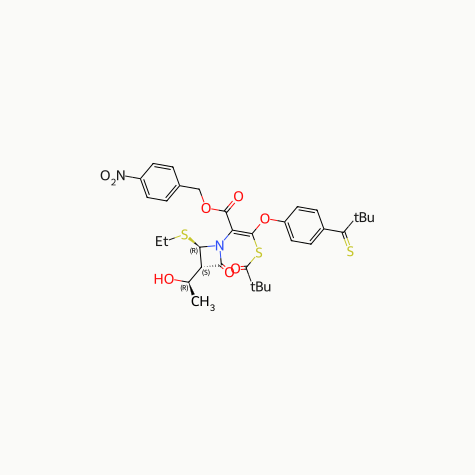 CCS[C@@H]1[C@@H]([C@@H](C)O)C(=O)N1C(C(=O)OCc1ccc([N+](=O)[O-])cc1)=C(Oc1ccc(C(=S)C(C)(C)C)cc1)SC(=O)C(C)(C)C